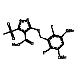 COC(=O)c1c(OCc2c(F)c(OC)cc(OC)c2F)nsc1S(C)(=O)=O